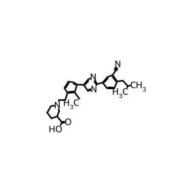 CCc1c(CCN2CCCC(C(=O)O)C2)cccc1-c1cnc(-c2ccc(CC(C)C)c(C#N)c2)nc1